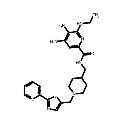 CCNc1nc(C(=O)NCC2CCN(Cc3cnc(-c4ccccn4)s3)CC2)cc(N)c1N